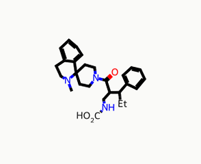 CCC(c1ccccc1)C(CNC(=O)O)C(=O)N1CCC2(CC1)c1ccccc1CCN2C